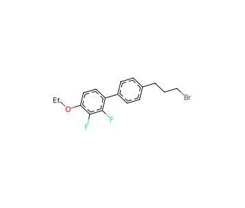 CCOc1ccc(-c2ccc(CCCBr)cc2)c(F)c1F